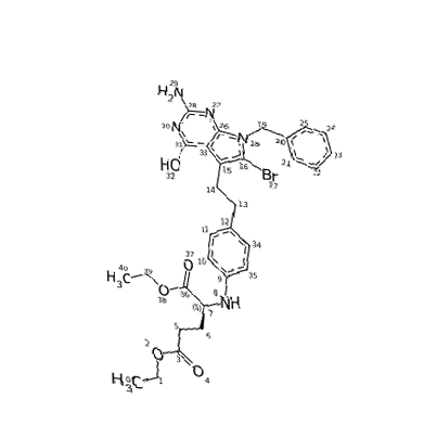 CCOC(=O)CC[C@H](Nc1ccc(CCc2c(Br)n(Cc3ccccc3)c3nc(N)nc(O)c23)cc1)C(=O)OCC